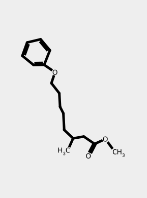 COC(=O)CC(C)CCCCCOc1ccccc1